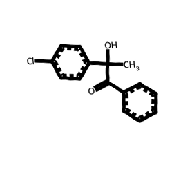 CC(O)(C(=O)c1ccccc1)c1ccc(Cl)cc1